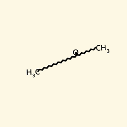 CCCCCCCCCCCCCCCCCC(=O)CCCCCCCCC